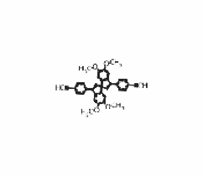 C#Cc1ccc(C2=CC3(C=C(c4ccc(C#C)cc4)c4cc(OC)c(OC)cc43)c3cc(OC)c(OC)cc32)cc1